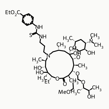 CCOC(=O)c1ccc(NC(=S)NCCCN2C[C@H](C)C[C@@](C)(O)[C@H](O[C@@H]3O[C@H](C)C[C@H](N(C)C)[C@H]3O)[C@@H](C)[C@H](O[C@@H](CCOC)O[C@@H](C)[C@@H](C)O)[C@@H](C)C(=O)O[C@H](CC)[C@@](C)(O)[C@H](O)[C@H]2C)cc1